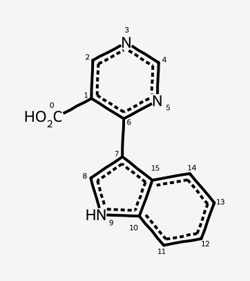 O=C(O)c1cncnc1-c1c[nH]c2ccccc12